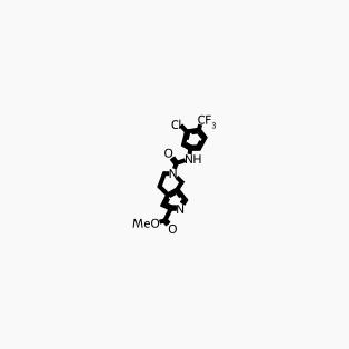 COC(=O)c1cc2c(cn1)CN(C(=O)Nc1ccc(C(F)(F)F)c(Cl)c1)CC2